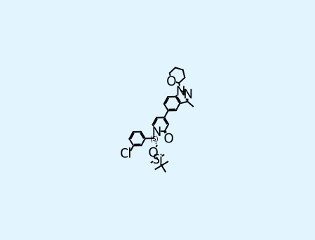 Cc1nn(C2CCCCO2)c2ccc(-c3ccn([C@H](CO[Si](C)(C)C(C)(C)C)c4cccc(Cl)c4)c(=O)c3)cc12